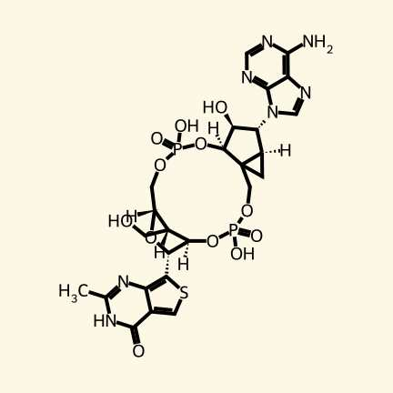 Cc1nc2c([C@@H]3O[C@@H]4COP(=O)(O)O[C@H]5[C@@H](O)[C@H](n6cnc7c(N)ncnc76)[C@H]6CC65COP(=O)(O)O[C@@H]3[C@@H]4CO)scc2c(=O)[nH]1